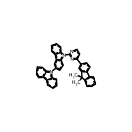 CC1(C)c2ccccc2-c2ccc(-c3ccnc(-n4c5ccccc5c5cc(-n6c7ccccc7c7ccccc76)ccc54)n3)cc21